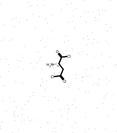 N[C@@H](CC(=O)Cl)C(=O)Cl